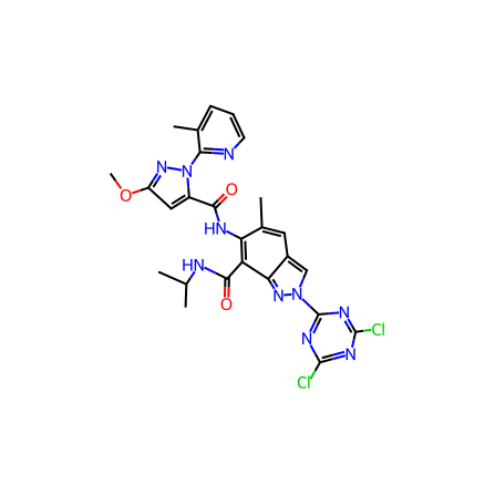 COc1cc(C(=O)Nc2c(C)cc3cn(-c4nc(Cl)nc(Cl)n4)nc3c2C(=O)NC(C)C)n(-c2ncccc2C)n1